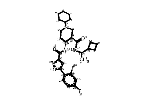 C[C@@H](NC(=O)[C@@H]1CN(C2CCCCC2)CC[C@H]1NC(=O)c1cc(-c2ccc(F)cc2F)on1)C1CCC1